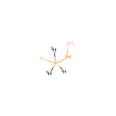 [2H]P([3H])([3H])(F)PB